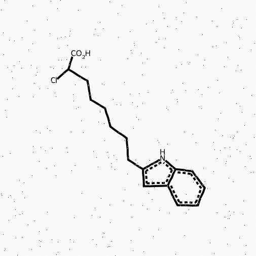 O=C(O)C(Cl)CCCCCCc1cc2ccccc2[nH]1